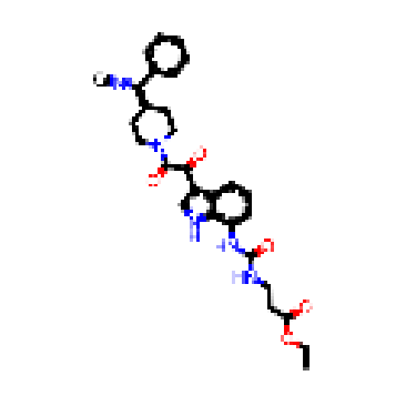 [C-]#[N+]C(=C1CCN(C(=O)C(=O)c2c[nH]c3c(NC(=O)NCCC(=O)OCC)cccc23)CC1)c1ccccc1